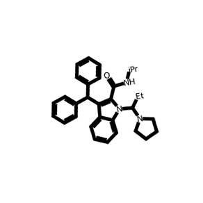 CCC(N1CCCC1)n1c(C(=O)NC(C)C)c(C(c2ccccc2)c2ccccc2)c2ccccc21